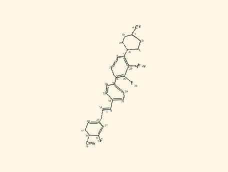 CCC1CCC(c2ccc(-c3ccc(/C=C/C4=CCC(OC)C(F)=C4)cc3)c(F)c2F)CC1